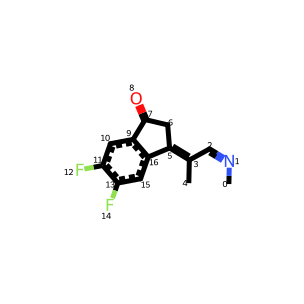 C/N=C\C(C)=C1/CC(=O)c2cc(F)c(F)cc21